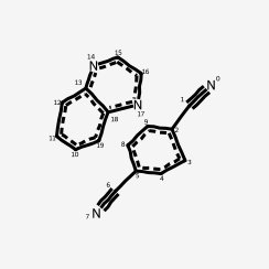 N#Cc1ccc(C#N)cc1.c1ccc2nccnc2c1